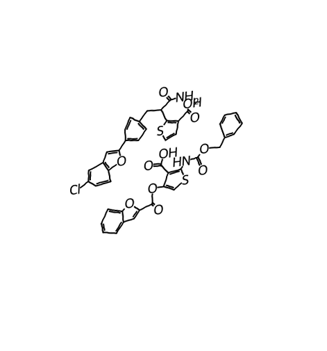 NC(=O)C(Cc1ccc(-c2cc3cc(Cl)ccc3o2)cc1)c1sccc1C(=O)O.O=C(Nc1scc(OC(=O)c2cc3ccccc3o2)c1C(=O)O)OCc1ccccc1